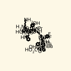 CCCC[C@@H](C(=O)N1CCC[C@@H]1C(=O)N[C@H](C=O)CC(=O)O)N(C)C(=O)[C@H](Cc1ccccc1)N(C)C(=O)[C@H](Cc1ccc(F)c(F)c1)NC(=O)CSCCNC(=O)[C@H](CC(C)C)NC(=O)[C@H](Cc1ccc(O)cc1)NC(=O)[C@H](Cc1c[nH]c2ccccc12)NC(=O)[C@H]1C[C@@H](O)CN1C(=O)[C@@H](N)CCCCN